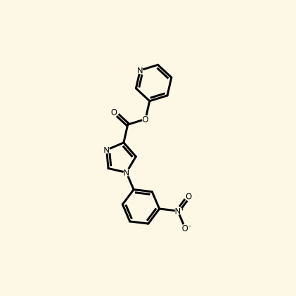 O=C(Oc1cccnc1)c1cn(-c2cccc([N+](=O)[O-])c2)cn1